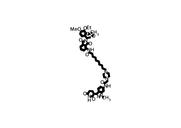 CCOc1cc(C(CS(C)(=O)=O)N2C(=O)c3cccc(NC(=O)CCCCCCCCCN4CCN(CC(=O)Nc5ccc6c(C7CCC(=O)NC7=O)nn(C)c6c5)CC4)c3C2=O)ccc1OC